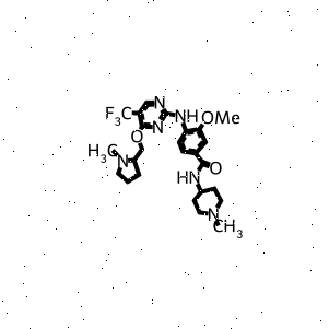 COc1cc(C(=O)NC2CCN(C)CC2)ccc1Nc1ncc(C(F)(F)F)c(OCC2CCCN2C)n1